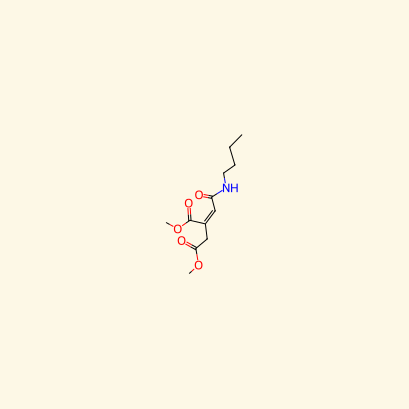 CCCCNC(=O)/C=C(/CC(=O)OC)C(=O)OC